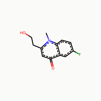 Cn1c(CCO)cc(=O)c2cc(F)ccc21